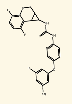 N#Cc1cc(F)cc(Oc2ccc(NC(=O)NC3C4COc5c(F)ccc(F)c5C43)nc2)c1